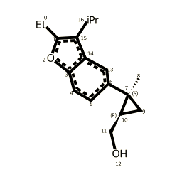 CCc1oc2ccc([C@@]3(C)C[C@H]3CO)cc2c1C(C)C